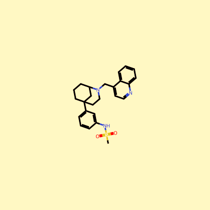 CS(=O)(=O)Nc1cccc(C23CCCC(C2)N(Cc2ccnc4ccccc24)CC3)c1